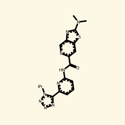 CC(C)n1nnnc1-c1cccc(NC(=O)c2cc3sc(N(C)C)nc3cn2)n1